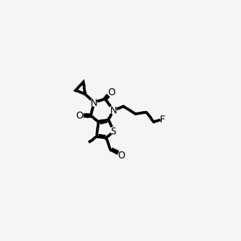 Cc1c(C=O)sc2c1c(=O)n(C1CC1)c(=O)n2CCCCF